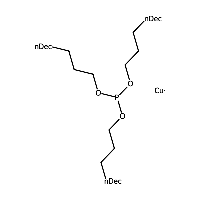 CCCCCCCCCCCCCOP(OCCCCCCCCCCCCC)OCCCCCCCCCCCCC.[Cu]